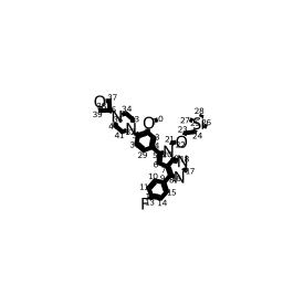 COc1cc(-c2cc3c(-c4ccc(F)cc4)ncnc3n2COCC[Si](C)(C)C)ccc1N1CCN(C2COC2)CC1